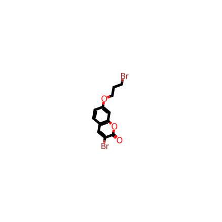 O=c1oc2cc(OCCCBr)ccc2cc1Br